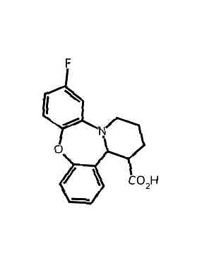 O=C(O)C1CCCN2c3cc(F)ccc3Oc3ccccc3C12